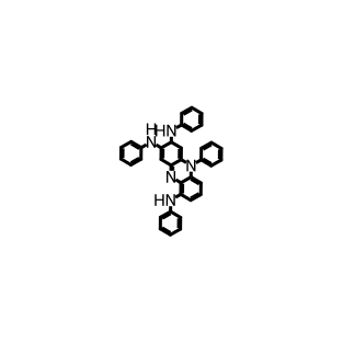 C1=C(Nc2ccccc2)C(Nc2ccccc2)C=C2C1=Nc1c(Nc3ccccc3)cccc1N2c1ccccc1